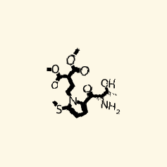 COC(=O)C(CCn1c(SC)ccc1C(=O)[C@@H](N)[C@@H](C)O)C(=O)OC